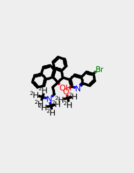 [2H]C([2H])([2H])Oc1nc2ccc(Br)cc2cc1C(c1ccccc1)C(O)(CCN(C([2H])([2H])[2H])C([2H])([2H])[2H])c1cccc2ccccc12